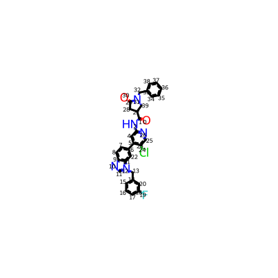 O=C(Nc1cc(-c2ccc3ncn(Cc4cccc(F)c4)c3c2)c(Cl)cn1)C1CC(=O)N(Cc2ccccc2)C1